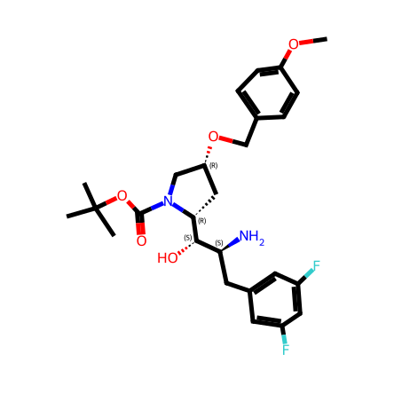 COc1ccc(CO[C@@H]2C[C@H]([C@@H](O)[C@@H](N)Cc3cc(F)cc(F)c3)N(C(=O)OC(C)(C)C)C2)cc1